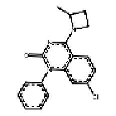 CC1CCN1c1nc(=O)n(-c2ccccc2)c2cc(Cl)ccc12